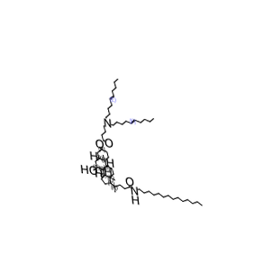 CCCC/C=C/CCCCN(CCCC/C=C/CCCC)CCCC(=O)O[C@@H]1CC[C@@]2(C)[C@@H](C1)C[C@H](O)[C@@H]1[C@@H]2CC[C@]2(C)[C@@H]([C@H](C)CCC(=O)NCCCCCCCCCCCCCC)CC[C@@H]12